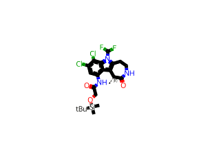 C[C@H]1C(=O)NCCc2c1c1c(NC(=O)CO[Si](C)(C)C(C)(C)C)cc(Cl)c(Cl)c1n2C(F)F